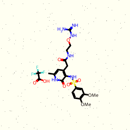 COc1ccc(S(=O)(=O)Nc2c(CC(=O)NCCONC(=N)N)cc(C)[nH]c2=O)cc1OC.O=C(O)C(F)(F)F